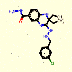 CCC1(CC)Nc2ccc(C(=O)NN)cc2N=C1NNCc1cccc(Cl)c1